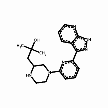 CC(C)(O)CC1CN(c2cccc(-c3n[nH]c4ncccc34)n2)CCN1